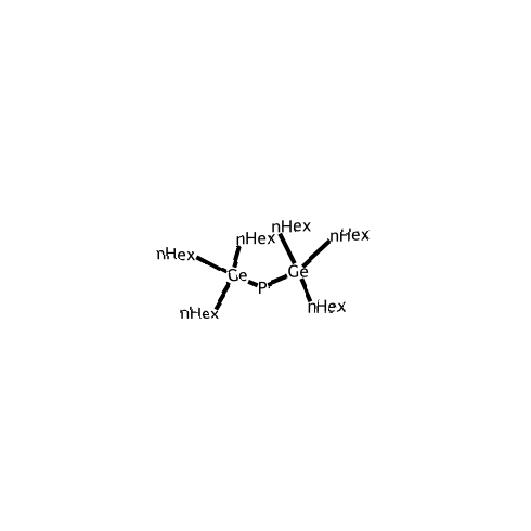 CCCCC[CH2][Ge]([CH2]CCCCC)([CH2]CCCCC)[P][Ge]([CH2]CCCCC)([CH2]CCCCC)[CH2]CCCCC